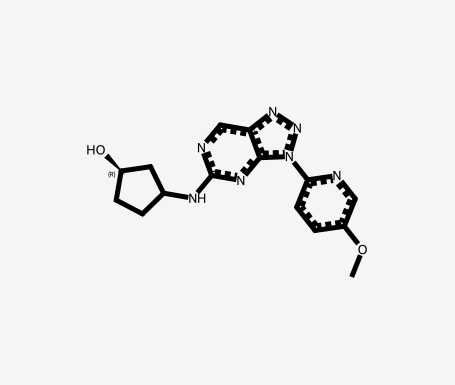 COc1ccc(-n2nnc3cnc(NC4CC[C@@H](O)C4)nc32)nc1